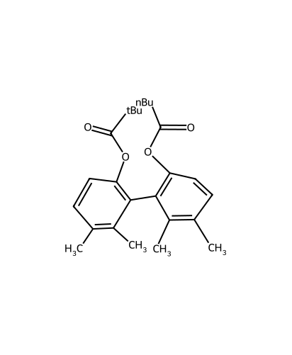 CCCCC(=O)Oc1ccc(C)c(C)c1-c1c(OC(=O)C(C)(C)C)ccc(C)c1C